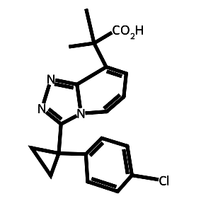 CC(C)(C(=O)O)c1cccn2c(C3(c4ccc(Cl)cc4)CC3)nnc12